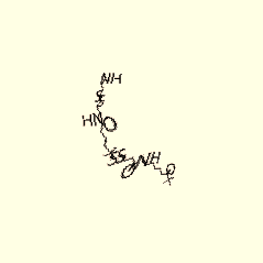 CNCCSSCCNC(=O)CCCC(C)(C)SSCCC(=O)NCCCCCC(=O)C(C)(C)C